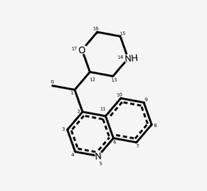 CC(c1ccnc2ccccc12)C1CNCCO1